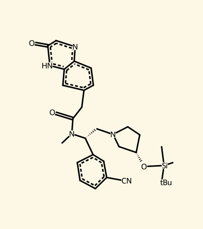 CN(C(=O)Cc1ccc2ncc(=O)[nH]c2c1)[C@H](CN1CC[C@H](O[Si](C)(C)C(C)(C)C)C1)c1cccc(C#N)c1